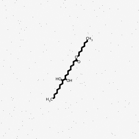 CCCCCCCCOC(=O)CCCCCCCC(O)C(O)CCCCCCCC